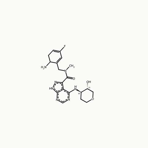 CN(CC1=CC(F)=CCC1N)C(=O)c1n[nH]c2ncnc(N[C@@H]3CCOC[C@H]3O)c12